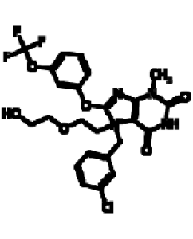 Cn1c2c(c(=O)[nH]c1=O)[N+](CCOCCO)(Cc1cccc(Cl)c1)C(Oc1cccc(OC(F)(F)F)c1)=N2